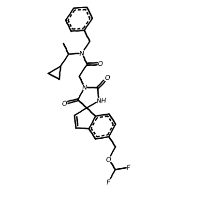 CC(C1CC1)N(Cc1ccccc1)C(=O)CN1C(=O)NC2(C=Cc3cc(COC(F)F)ccc32)C1=O